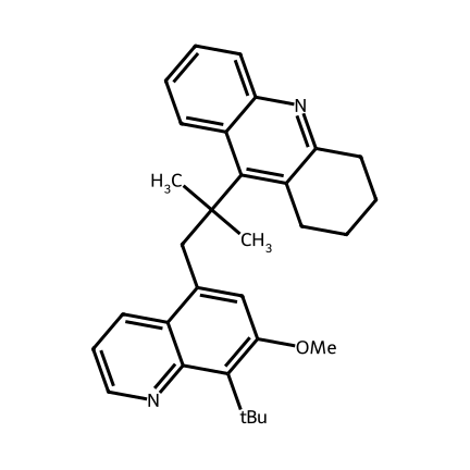 COc1cc(CC(C)(C)c2c3c(nc4ccccc24)CCCC3)c2cccnc2c1C(C)(C)C